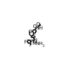 Nc1nc(-c2cc3c(s2)-c2ccc(C(=O)NC4CCO4)cc2OCC3)n(-c2ccc(F)cc2F)n1